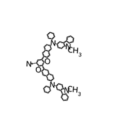 Cn1c2ccccc2c2cc(N(c3ccccc3)c3ccc4cc5c(cc4c3)oc3c5cc(C#N)c4oc5cc6cc(N(c7ccccc7)c7ccc8c(c7)c7ccccc7n8C)ccc6cc5c43)ccc21